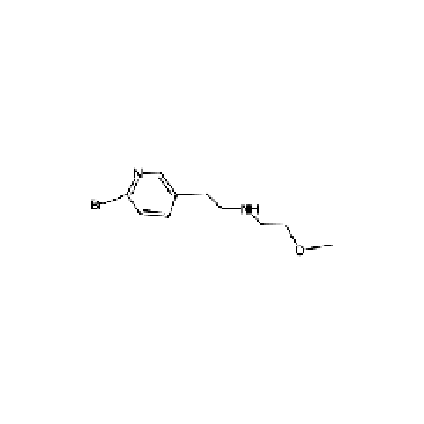 COCCNCCc1ccc(Br)nc1